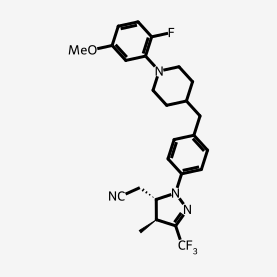 COc1ccc(F)c(N2CCC(Cc3ccc(N4N=C(C(F)(F)F)[C@@H](C)[C@@H]4CC#N)cc3)CC2)c1